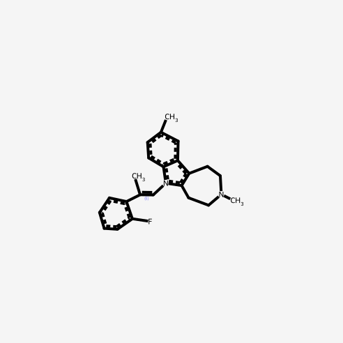 C/C(=C\n1c2c(c3cc(C)ccc31)CCN(C)CC2)c1ccccc1F